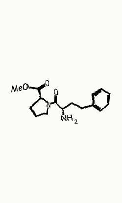 COC(=O)[C@@H]1CCCN1C(=O)[C@H](N)CCc1ccccc1